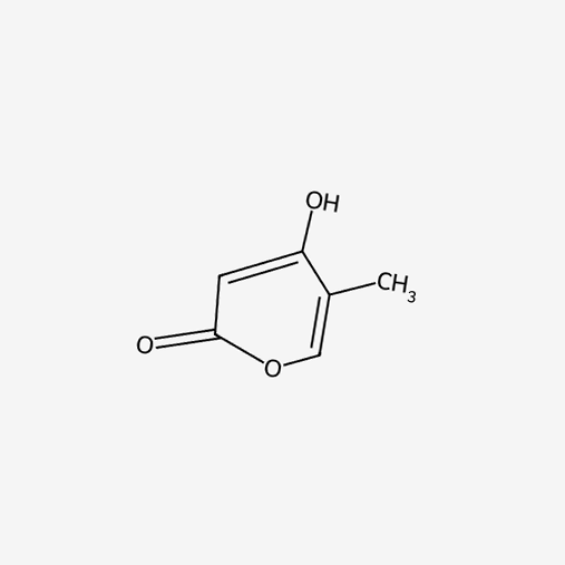 Cc1coc(=O)cc1O